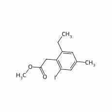 CCc1cc(C)cc(I)c1CC(=O)OC